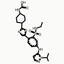 CCNS(=O)(=O)c1cc(Nc2ccnn2C(C)C)ccc1-c1cnc(C2CCC(NC(=O)O)CC2)s1